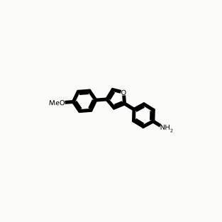 COc1ccc(-c2coc(-c3ccc(N)cc3)c2)cc1